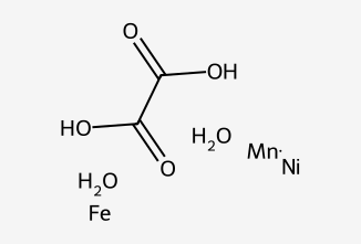 O.O.O=C(O)C(=O)O.[Fe].[Mn].[Ni]